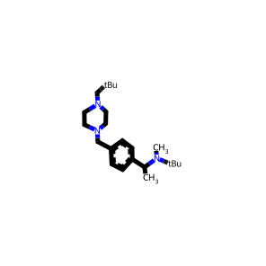 CC(c1ccc(CN2CCN(CC(C)(C)C)CC2)cc1)N(C)C(C)(C)C